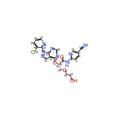 N#Cc1ccc(NC(=O)[C@H](COCCO)Oc2ncnc3c2cnn3-c2ncccc2Cl)nc1